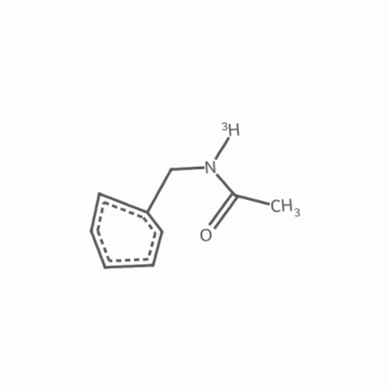 [3H]N(Cc1ccccc1)C(C)=O